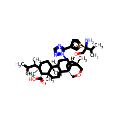 CC(C)[C@@H](C)[C@@]1(C)CC[C@]2(C)[C@H]3CC[C@@H]4[C@@]5(COC[C@@]4(C)[C@@H](OC[C@](C)(N)C(C)C)[C@H](n4ncnc4-c4ccsc4)C5)C3=CC[C@@]2(C)[C@@H]1C(=O)O